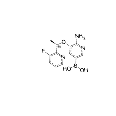 C[C@@H](Oc1cc(B(O)O)cnc1N)c1ncccc1F